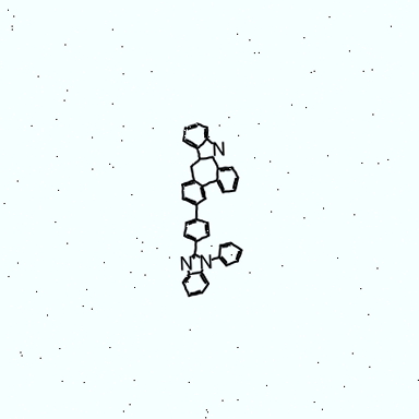 c1ccc(-n2c(-c3ccc(-c4ccc5c(c4)-c4ccccc4C4=Nc6ccccc6C4C5)cc3)nc3ccccc32)cc1